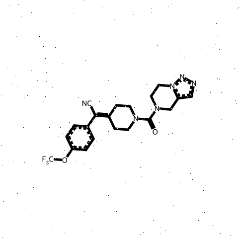 N#CC(=C1CCN(C(=O)N2CCn3nncc3C2)CC1)c1ccc(OC(F)(F)F)cc1